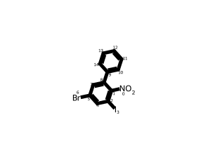 O=[N+]([O-])c1c(I)cc(Br)cc1-c1ccccc1